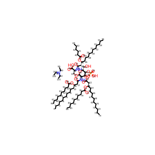 CCCCCCCCCCC[C@H](CC(=O)N[C@H]1[C@@H](OC[C@H](NC(=O)C[C@@H](CCCCCCCCCCC)OC(=O)CCCCC)C(=O)O)O[C@H](CO)[C@@H](OP(=O)(O)O)[C@@H]1OC(=O)C[C@@H](CCCCCCCCCCC)OC(=O)CCCCCCCCC)OC(=O)CCCCCCCCC.CCN(CC)CC